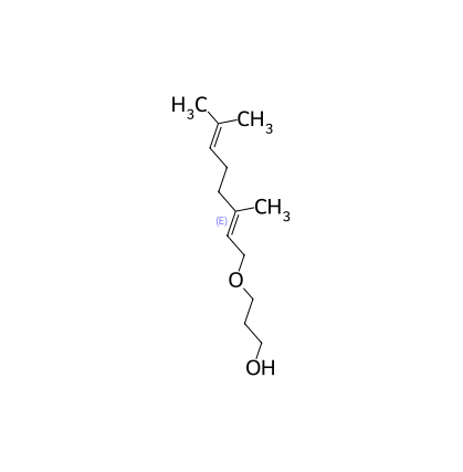 CC(C)=CCC/C(C)=C/COCCCO